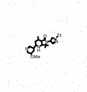 CCN1CC(N2C(=O)C3C(C)CC(C4C=NCC(OC)C4)NC3C2(C)C)C=N1